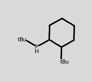 CC(C)(C)PC1CCCCC1C(C)(C)C